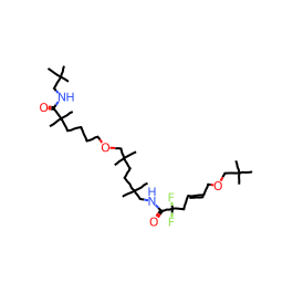 CC(C)(C)CNC(=O)C(C)(C)CCCCOCC(C)(C)CCC(C)(C)CNC(=O)C(F)(F)C/C=C/COCC(C)(C)C